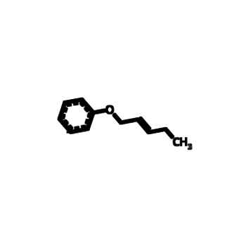 CC/C=C/COc1c[c]ccc1